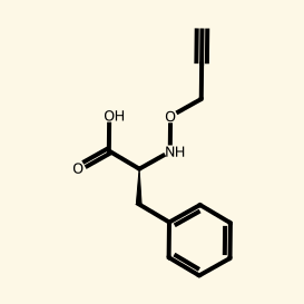 C#CCON[C@@H](Cc1ccccc1)C(=O)O